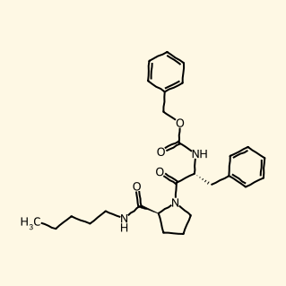 CCCCCNC(=O)[C@@H]1CCCN1C(=O)[C@@H](Cc1ccccc1)NC(=O)OCc1ccccc1